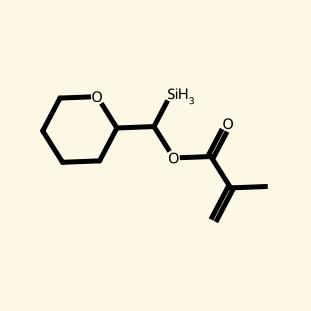 C=C(C)C(=O)OC([SiH3])C1CCCCO1